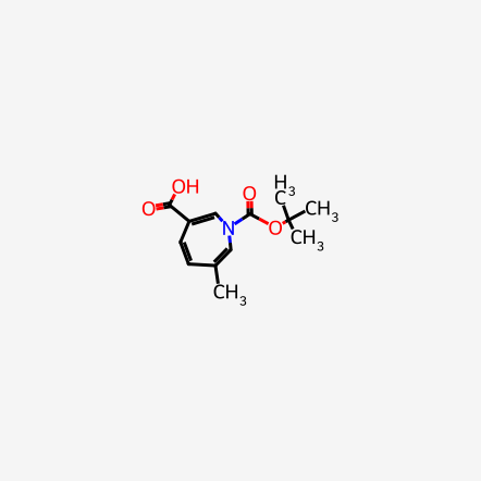 CC1=CN(C(=O)OC(C)(C)C)C=C(C(=O)O)C=C1